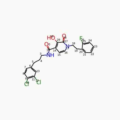 O=C(NCCCc1ccc(Cl)c(Cl)c1)c1ccn(CCc2ccccc2F)c(=O)c1O